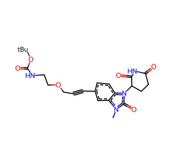 Cn1c(=O)n(C2CCC(=O)NC2=O)c2ccc(C#CCOCCNC(=O)OC(C)(C)C)cc21